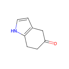 O=C1CCc2[nH]ccc2C1